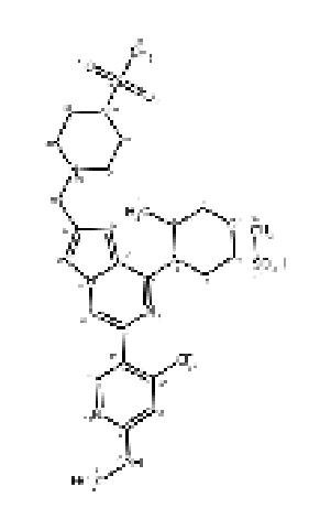 CC1COCCN1c1nc(-c2cnc(NC(=O)O)cc2C(F)(F)F)nn2cc(CN3CCN(S(C)(=O)=O)CC3)cc12.CS(=O)(=O)O